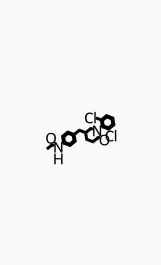 CC(=O)Nc1ccc(CC2CCC(=O)N(c3c(Cl)cccc3Cl)C2)cc1